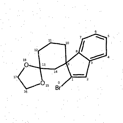 BrC1=Cc2ccccc2C12CCCC1(C2)OCCO1